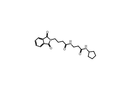 O=C(CCCN1C(=O)c2ccccc2C1=O)NCCC(=O)NC1CCCC1